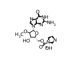 COC1[C@@H](O)[C@@H](COP(=O)(O)n2ccnc2)O[C@H]1n1cnc2c(=O)[nH]c(N)nc21